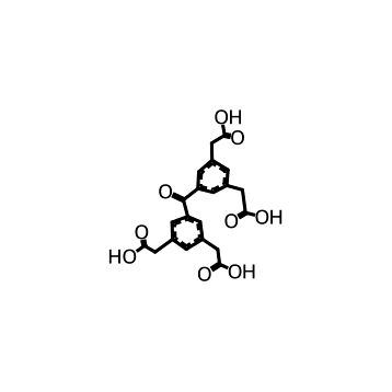 O=C(O)Cc1cc(CC(=O)O)cc(C(=O)c2cc(CC(=O)O)cc(CC(=O)O)c2)c1